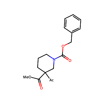 COC(=O)C1(C(C)=O)CCCN(C(=O)OCc2ccccc2)C1